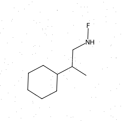 CC(CNF)C1CCCCC1